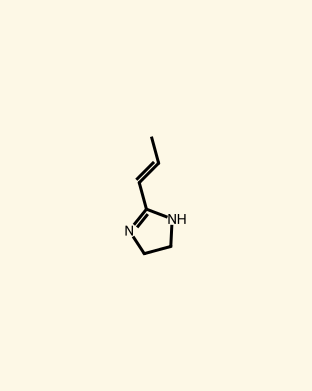 CC=CC1=NCCN1